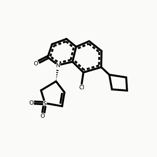 O=c1ccc2ccc(C3CCC3)c(Cl)c2n1[C@@H]1C=CS(=O)(=O)C1